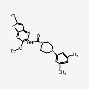 CCOc1nc2oc(Cl)cc2nc1NC(=O)N1CCN(c2cc(C)cc(C)c2)CC1